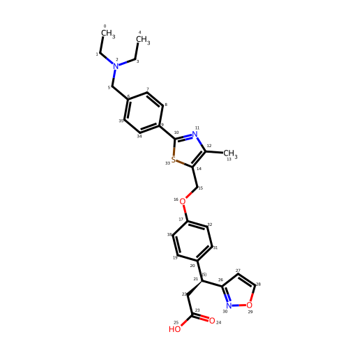 CCN(CC)Cc1ccc(-c2nc(C)c(COc3ccc([C@H](CC(=O)O)c4ccon4)cc3)s2)cc1